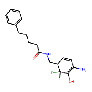 NC1=C(O)C(F)(F)C(CNC(=O)CCCCc2ccccc2)C=C1